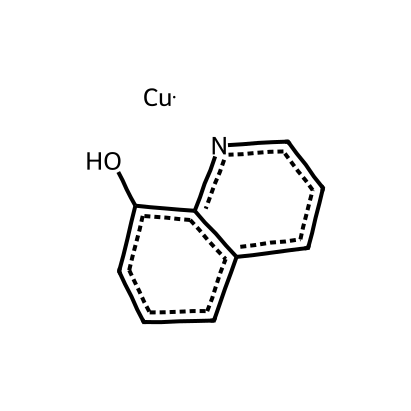 Oc1cccc2cccnc12.[Cu]